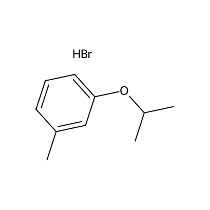 Br.Cc1cccc(OC(C)C)c1